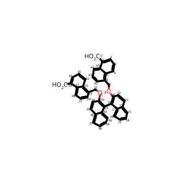 O=C(O)c1cccc2c(COc3ccc4ccccc4c3-c3c(OCc4cccc5c(C(=O)O)cccc45)ccc4ccccc34)cccc12